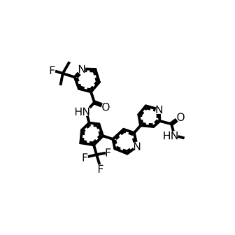 CNC(=O)c1cc(-c2cc(-c3cc(NC(=O)c4ccnc(C(C)(C)F)c4)ccc3C(F)(F)F)ccn2)ccn1